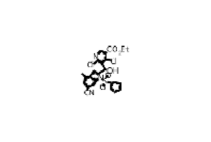 CCOC(=O)c1cnc(Cl)c(C(O)c2cc3c(C)cc(C#N)cc3n2S(=O)(=O)c2ccccc2)c1Cl